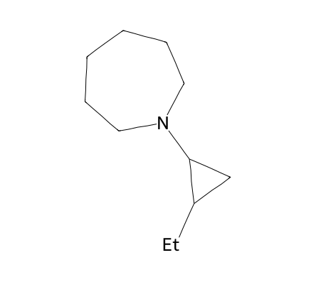 CCC1CC1N1CCCCCC1